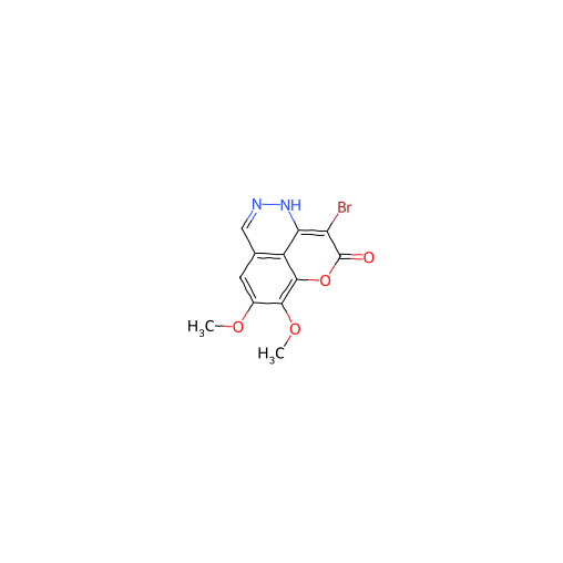 COc1cc2c3c(c(Br)c(=O)oc3c1OC)NN=C2